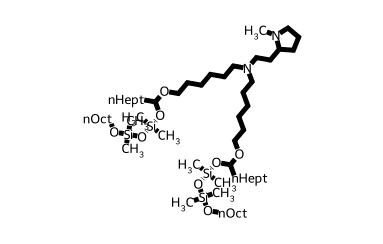 CCCCCCCCO[Si](C)(C)O[Si](C)(C)OC(CCCCCCC)OCCCCCCN(CCCCCCOC(CCCCCCC)O[Si](C)(C)O[Si](C)(C)OCCCCCCCC)CCC1CCCN1C